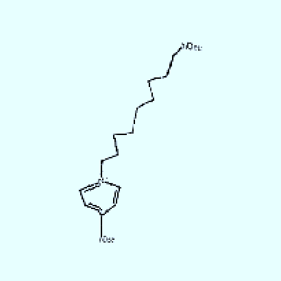 CCCCCCCCCCCCCCCCCCC[n+]1ccc(CCCCCCCCCC)cc1